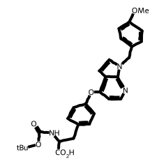 COc1ccc(Cn2ccc3c(Oc4ccc(CC(NC(=O)OC(C)(C)C)C(=O)O)cc4)ccnc32)cc1